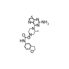 C[C@H]1CN(OC(=O)Nc2ccc3c(c2)CCO3)CCN1c1nc(N)nc2scnc12